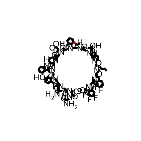 CCCC[C@H]1C(=O)N2CCC[C@@H]2C(=O)N[C@@H](CC(=O)O)C(=O)N[C@@H](C(C)C)C(=O)N(C)[C@@H](Cc2ccccc2)C(=O)N[C@@H](CCC(=O)O)C(=O)N2CCCC[C@@H]2C(=O)N[C@@H](Cc2c[nH]c3ccccc23)C(=O)N[C@@H](Cc2ccc(O)cc2)C(=O)N[C@@H](CC(N)=O)C(=O)N[C@H](C(=O)NCC(N)=O)CSCC(=O)N[C@@H](Cc2cc(F)c(F)c(F)c2)C(=O)N(C)C(Cc2ccc(F)cc2)C(=O)N1C